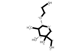 CC1[C@H](OCCS)OCC(O)(CO)[C@@H]1O